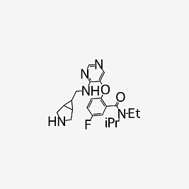 CCN(C(=O)c1cc(F)ccc1Oc1cncnc1NCC1C2CNCC21)C(C)C